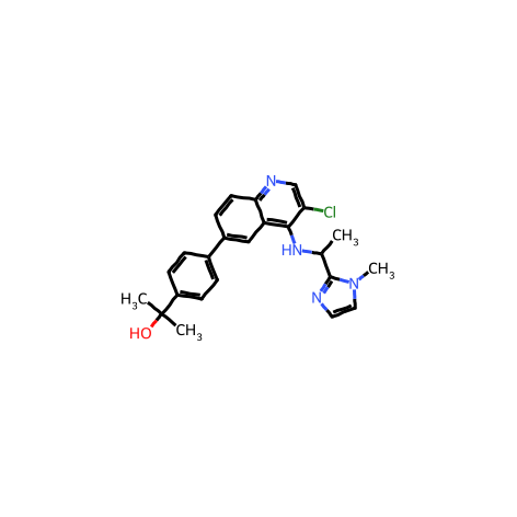 CC(Nc1c(Cl)cnc2ccc(-c3ccc(C(C)(C)O)cc3)cc12)c1nccn1C